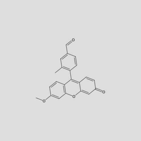 COc1ccc2c(-c3ccc(C=O)cc3C)c3ccc(=O)cc-3oc2c1